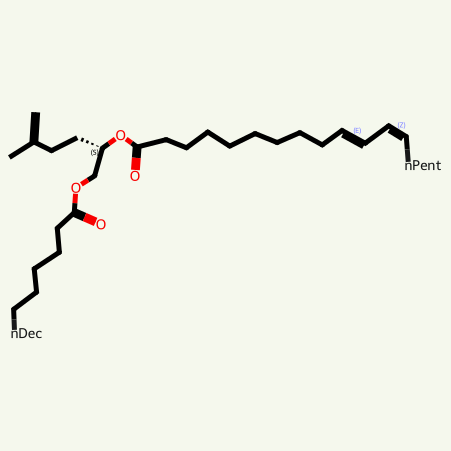 C=C(C)CC[C@@H](COC(=O)CCCCCCCCCCCCCCC)OC(=O)CCCCCCCC/C=C/C=C\CCCCC